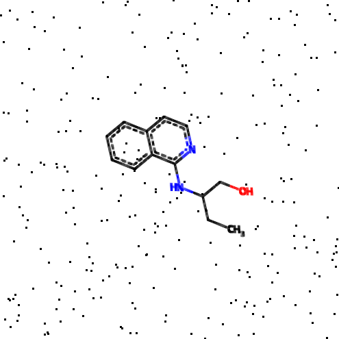 CCC(CO)Nc1nccc2ccccc12